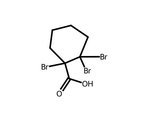 O=C(O)C1(Br)CCCCC1(Br)Br